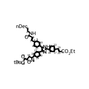 CCCCCCCCCCCCNC(=O)C=Cc1ccc(-c2[nH]c(-c3ccc(C=CC(=O)OCC)cc3)nc2-c2ccc(C3=NOC(C(=O)OC(C)(C)C)C3)cc2)cc1